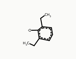 CCc1cccc(CC)c1[O]